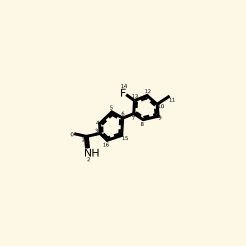 CC(=N)c1ccc(-c2ccc(C)cc2F)cc1